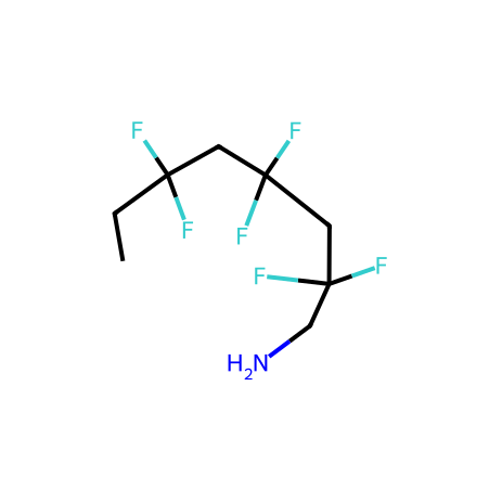 CCC(F)(F)CC(F)(F)CC(F)(F)CN